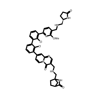 COc1nc(-c2cccc(-c3cccc(-c4ccn5c(=O)c(CNCC67CCC(C6)C(=O)N7)cnc5c4)c3Cl)c2Cl)ccc1CNC[C@H]1CCC(=O)N1